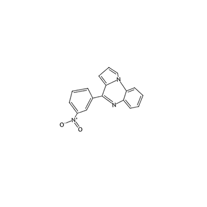 O=[N+]([O-])c1cccc(-c2nc3ccccc3n3cccc23)c1